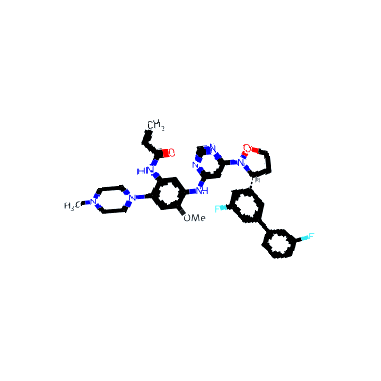 C=CC(=O)Nc1cc(Nc2cc(N3OCC[C@@H]3c3cc(F)cc(-c4cccc(F)c4)c3)ncn2)c(OC)cc1N1CCN(C)CC1